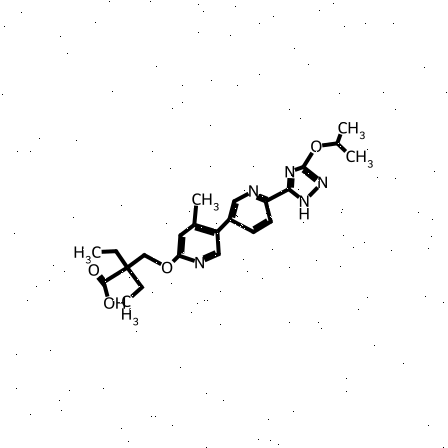 CCC(CC)(COc1cc(C)c(-c2ccc(-c3nc(OC(C)C)n[nH]3)nc2)cn1)C(=O)O